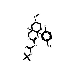 CO[C@@H]1CC[C@]2(c3cc(N)ccc3F)N=C(NC(=O)OC(C)(C)C)SC[C@@H]2C1